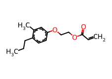 C=CC(=O)OCCOc1ccc(CCC)c(C)c1